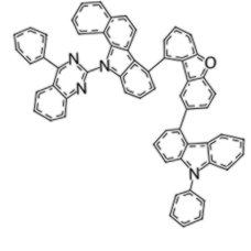 c1ccc(-c2nc(-n3c4cccc(-c5cccc6oc7ccc(-c8cccc9c8c8ccccc8n9-c8ccccc8)cc7c56)c4c4ccc5ccccc5c43)nc3ccccc23)cc1